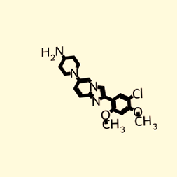 COc1cc(OC)c(-c2cn3cc(N4CCC(N)CC4)ccc3n2)cc1Cl